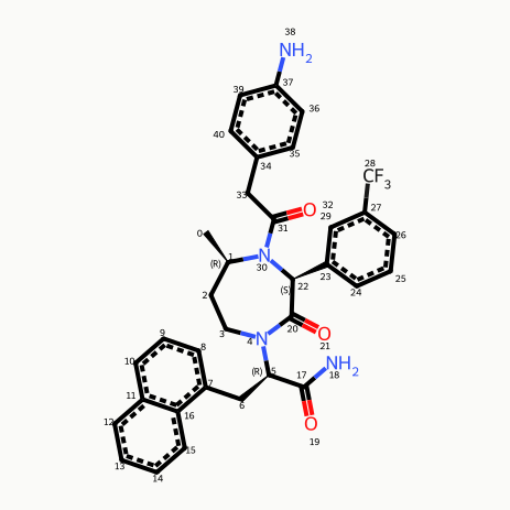 C[C@@H]1CCN([C@H](Cc2cccc3ccccc23)C(N)=O)C(=O)[C@H](c2cccc(C(F)(F)F)c2)N1C(=O)Cc1ccc(N)cc1